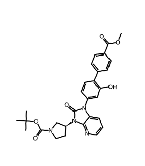 COC(=O)c1ccc(-c2ccc(-n3c(=O)n([C@H]4CCN(C(=O)OC(C)(C)C)C4)c4ncccc43)cc2O)cc1